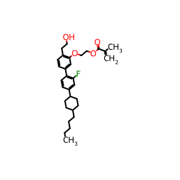 C=C(C)C(=O)OCCOc1cc(-c2ccc(C3CCC(CCCCC)CC3)cc2F)ccc1CCO